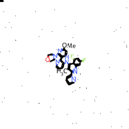 COc1ccc(-c2ncccc2Nc2c(C)c(-c3ccccn3)nc3cc(F)cc(F)c23)c(N2CCOCC2)n1